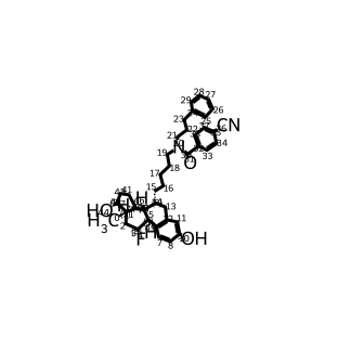 C[C@]12C[C@H](F)[C@@H]3c4ccc(O)cc4C[C@@H](CCCCCN(CCCc4ccccc4)C(=O)c4ccc(C#N)cc4)[C@H]3[C@@H]1CC[C@@H]2O